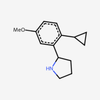 COc1ccc(C2CC2)c(C2CCCN2)c1